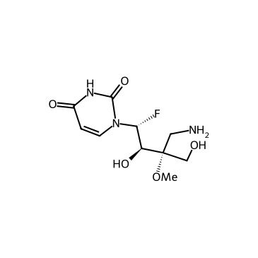 CO[C@](CN)(CO)[C@@H](O)[C@@H](F)n1ccc(=O)[nH]c1=O